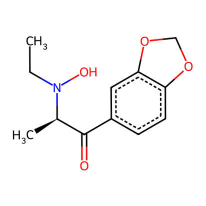 CCN(O)[C@H](C)C(=O)c1ccc2c(c1)OCO2